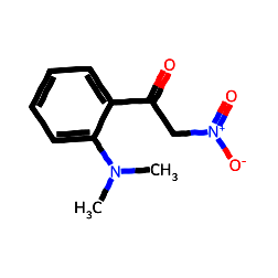 CN(C)c1ccccc1C(=O)C[N+](=O)[O-]